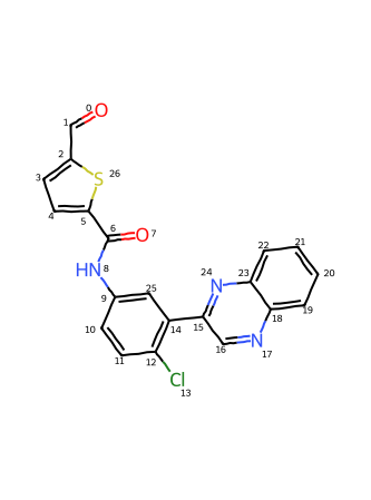 O=Cc1ccc(C(=O)Nc2ccc(Cl)c(-c3cnc4ccccc4n3)c2)s1